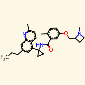 Cc1ccc2c(C3(NC(=O)c4cc(OCC5CCN5C)ccc4C)CC3)cc(CCC(F)(F)F)cc2n1